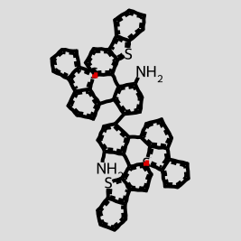 Nc1ccc(-c2ccc(N)c(-c3cccc4c3sc3ccccc34)c2-c2cccc3c2sc2ccccc23)c(-c2cccc3c2sc2ccccc23)c1-c1cccc2c1sc1ccccc12